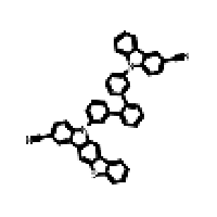 N#Cc1ccc2c(c1)c1ccccc1n2-c1cccc(-c2ccccc2-c2cccc(-n3c4ccc(C#N)cc4c4cc5sc6ccccc6c5cc43)c2)c1